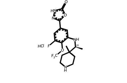 C[C@H](Nc1cc(-c2n[nH]c(=O)o2)cc(F)c1OC(F)(F)F)C1(C)CCNCC1.Cl